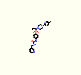 C=CC(N1CCN(c2ncc(C)cn2)CC1)S(=O)(=O)c1ccc(NC(=O)NCc2cccnc2)cc1